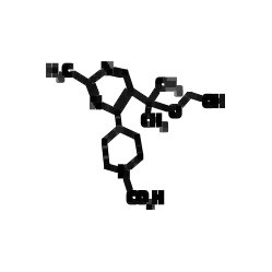 Cc1ncc(C(C)(C)OCO)c(C2CCN(C(=O)O)CC2)n1